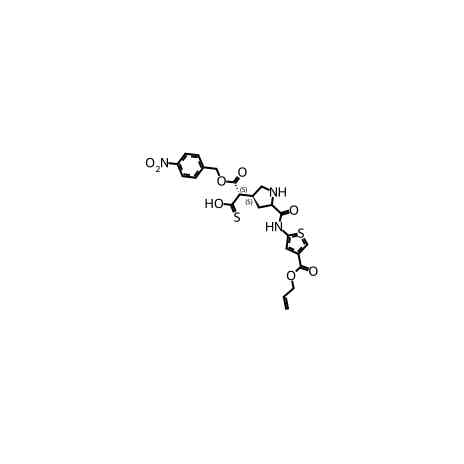 C=CCOC(=O)c1csc(NC(=O)C2C[C@@H]([C@@H](C(=O)OCc3ccc([N+](=O)[O-])cc3)C(O)=S)CN2)c1